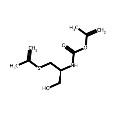 C=C(C)OC(=O)N[C@@H](CO)CSC(=C)C